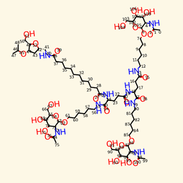 CC(=O)NC1C(OCCCCCCNC(=O)CCC(NC(=O)CCC(NC(=O)CCCCCCCCCCC(=O)NC[C@@H]2C[C@H](OC(C)C)[C@@H](CO)O2)C(=O)NCCCCCCOC2O[C@H](CO)C(O)C(O)C2NC(C)=O)C(=O)NCCCCCCOC2OC(CO)C(O)C(O)C2NC(C)=O)OC(CO)C(O)C1O